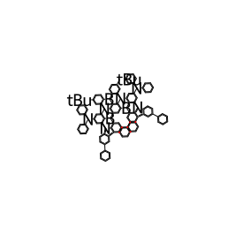 CC(C)(C)c1ccc2c(c1)N1c3cc(N(c4ccccc4)c4ccccc4)cc4c3B(c3cc5c6c(c31)B2c1ccc(C(C)(C)C)cc1N6c1cc(N(c2ccccc2)c2ccccc2)cc2c1B5c1cc(-c3ccccc3)cc3c5cc(-c6ccccc6)ccc5n-2c13)c1cc(-c2ccccc2)cc2c3cc(-c5ccccc5)ccc3n-4c12